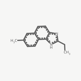 CCc1nc2ccc3cc(C)ccc3c2[nH]1